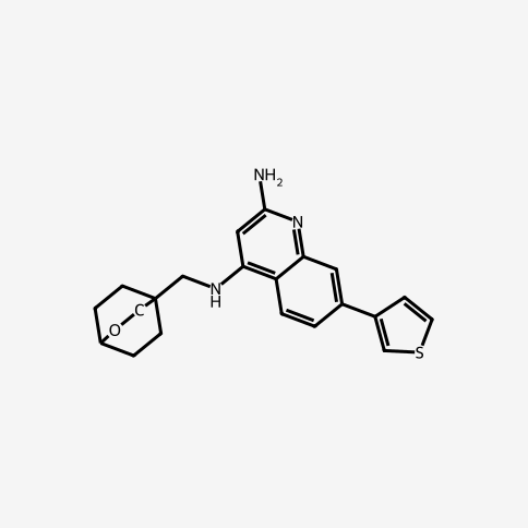 Nc1cc(NCC23CCC(CC2)OC3)c2ccc(-c3ccsc3)cc2n1